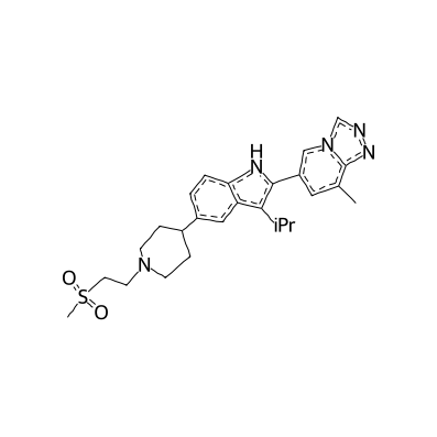 Cc1cc(-c2[nH]c3ccc(C4CCN(CCS(C)(=O)=O)CC4)cc3c2C(C)C)cn2cnnc12